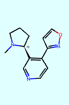 CN1CCC[C@H]1c1cnccc1-c1ccon1